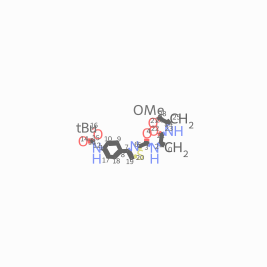 C=C(NC(=O)c1nc(-c2ccc(NC(=O)OC(C)(C)C)cc2)cs1)C(=O)NC(=C)C(=O)OC